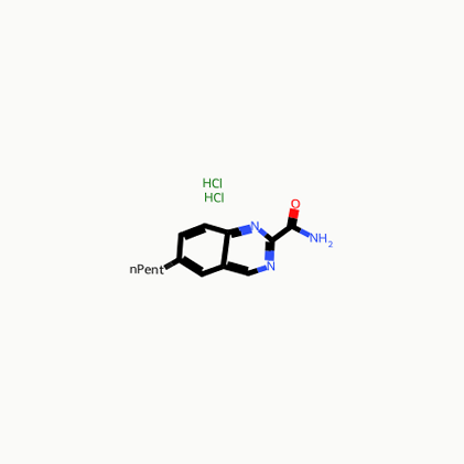 CCCCCc1ccc2nc(C(N)=O)ncc2c1.Cl.Cl